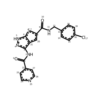 O=C(Nc1n[nH]c2sc(C(=O)NCc3ccc(Cl)cc3)cc12)c1ccncc1